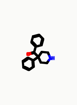 O=C(c1ccccc1)C1(c2ccccc2)CCNCC1